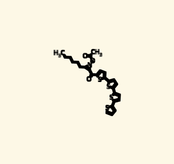 CCCCCCC1C(C(=O)c2ccc(-c3ccc(-c4ccc(-c5cccs5)s4)s3)s2)N1OC(C)=O